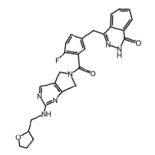 O=C(c1cc(Cc2n[nH]c(=O)c3ccccc23)ccc1F)N1Cc2cnc(NCC3CCCO3)nc2C1